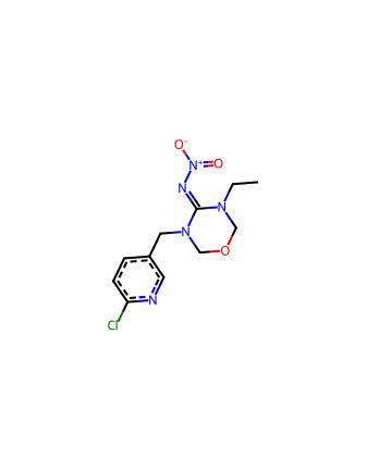 CCN1COCN(Cc2ccc(Cl)nc2)C1=N[N+](=O)[O-]